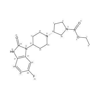 CCOC(=O)N1CC[C@@H](N2CCC(n3c(=O)[nH]c4ccc(F)cc43)CC2)C1